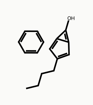 CCCCc1cc2c(O)c-2c1.[c]1ccccc1